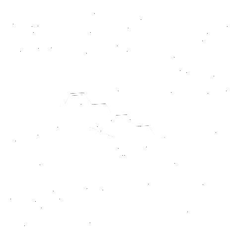 [CH2]C/C=C\CCOCOCCCCCCCC.[I][Mg][I]